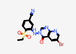 CCS(=O)(=O)c1ccc(C#N)cc1Nn1cnc2ncc(Br)cc2c1=O